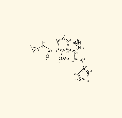 COc1c(C(=O)NC2CC2)ccc2[nH]nc(/C=C/c3ccsc3)c12